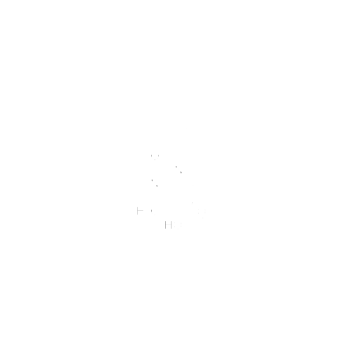 Cc1nc(Oc2ccccc2)ncc1C(=O)O